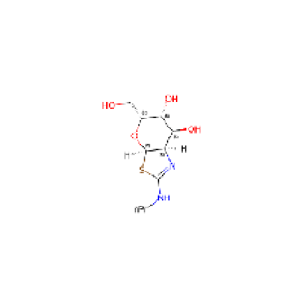 CCCNC1=N[C@@H]2[C@H](O)[C@@H](O)[C@@H](CO)O[C@@H]2S1